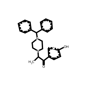 CC(C(=O)c1ccc(O)cc1)N1CCN(C(c2ccccc2)c2ccccc2)CC1